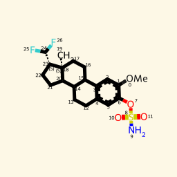 COc1cc2c(cc1OS(N)(=O)=O)CCC1C2CC[C@@]2(C)C1CC[C@@H]2C(F)F